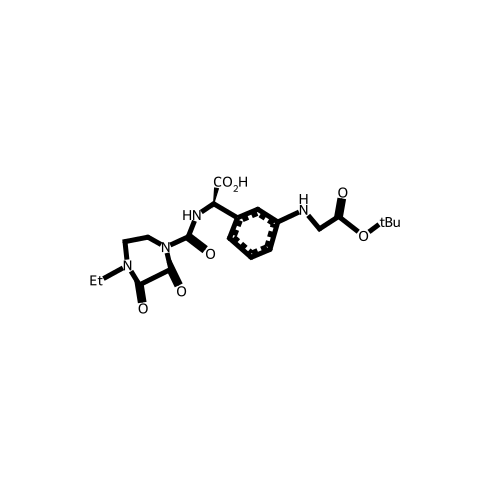 CCN1CCN(C(=O)N[C@@H](C(=O)O)c2cccc(NCC(=O)OC(C)(C)C)c2)C(=O)C1=O